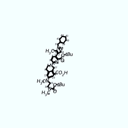 Cc1c(-c2ccc(N3CCc4cc(N(C)CCN(C)C(=O)OC(C)(C)C)cc(C(=O)O)c4C3)nc2C(=O)OC(C)(C)C)cnn1CC1CCCCC1